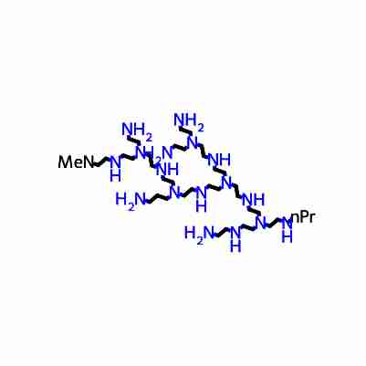 CCCNCCN(CCNCCN)CCNCCN(CCNCCN(CCN)CCN)CCNCCN(CCCN)CCNCCN(CCN)CCNCCNC